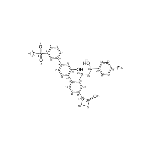 CS(=O)(=O)c1cccc(-c2ccc(-c3ccc(N4CCC4=O)cc3CC[C@H](O)c3ccc(F)cc3)c(O)c2)c1